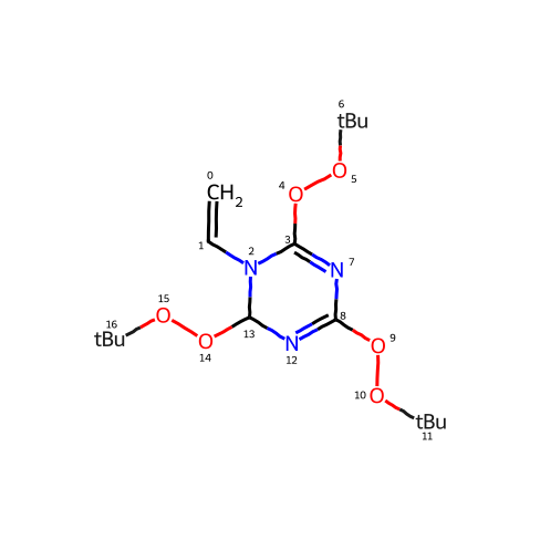 C=CN1C(OOC(C)(C)C)=NC(OOC(C)(C)C)=NC1OOC(C)(C)C